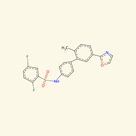 Cc1ccc(-c2ncco2)cc1-c1ccc(NS(=O)(=O)c2cc(F)ccc2F)cc1